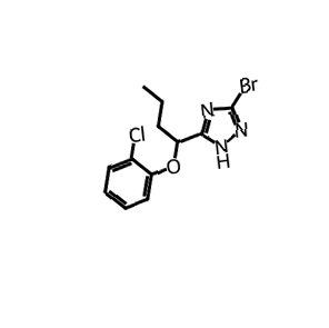 CCCC(Oc1ccccc1Cl)c1nc(Br)n[nH]1